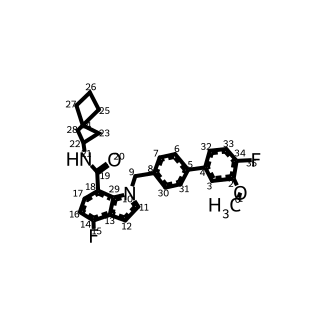 COc1cc(-c2ccc(Cn3ccc4c(F)ccc(C(=O)NC5CC6(CCC6)C5)c43)cc2)ccc1F